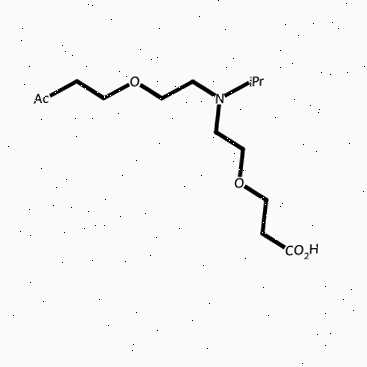 CC(=O)CCOCCN(CCOCCC(=O)O)C(C)C